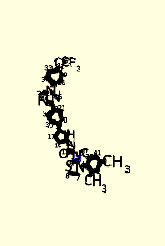 Cc1cc(C)c(N2CCS/C2=N\C(=O)NC2CCC(c3ccc(-c4ncn(-c5ccc(OC(F)(F)F)cc5)n4)cc3)C2)c(C)c1